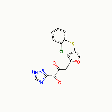 O=C(Cc1cc(Sc2ccccc2Cl)co1)C(=O)c1nc[nH]n1